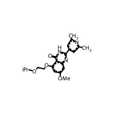 COc1cc(OCCOC(C)C)c2c(=O)[nH]c(-c3cc(C)nc(C)c3)nc2c1